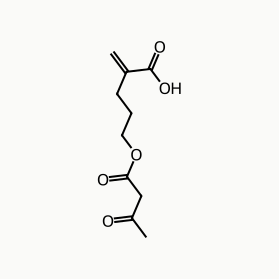 C=C(CCCOC(=O)CC(C)=O)C(=O)O